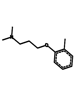 Cc1ccccc1OCCCN(C)C